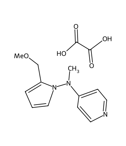 COCc1cccn1N(C)c1ccncc1.O=C(O)C(=O)O